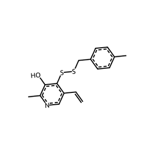 C=Cc1cnc(C)c(O)c1SSCc1ccc(C)cc1